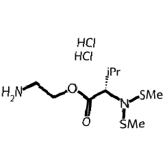 CSN(SC)[C@H](C(=O)OCCN)C(C)C.Cl.Cl